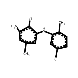 Cc1cc(N)c(Cl)c(Nc2cc(Cl)ccc2C)c1